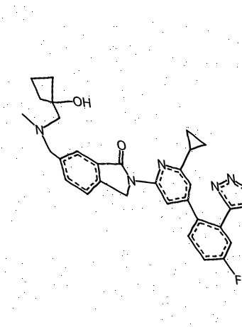 CN(Cc1ccc2c(c1)C(=O)N(c1cc(-c3ccc(F)cc3-c3nncn3C)cc(C3CC3)n1)C2)CC1(O)CCC1